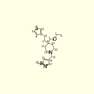 CCOCC1(CCc2ccsc2)CCN(Cc2cnn(C)c2)CC1